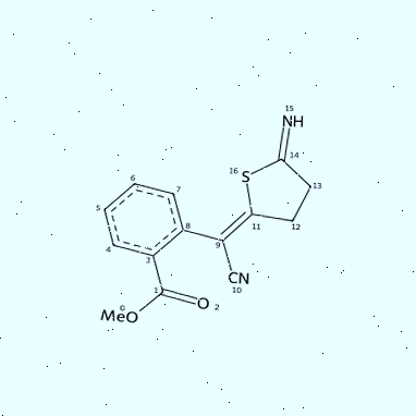 COC(=O)c1ccccc1/C(C#N)=C1/CCC(=N)S1